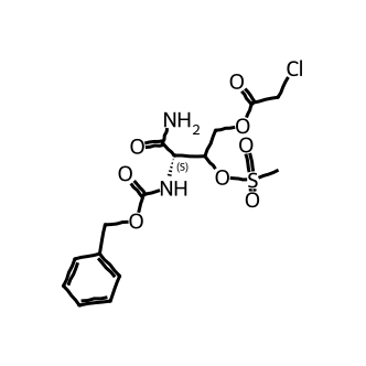 CS(=O)(=O)OC(COC(=O)CCl)[C@H](NC(=O)OCc1ccccc1)C(N)=O